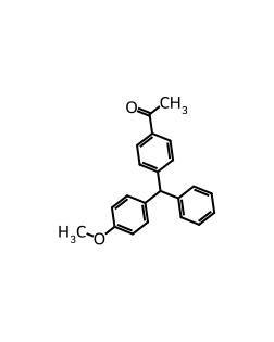 COc1ccc(C(c2ccccc2)c2ccc(C(C)=O)cc2)cc1